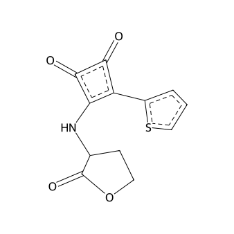 O=C1OCCC1Nc1c(-c2cccs2)c(=O)c1=O